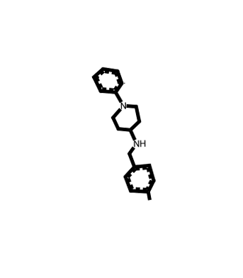 Cc1ccc(CNC2CCN(c3[c]cccc3)CC2)cc1